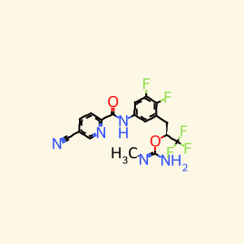 C/N=C(/N)O[C@@H](Cc1cc(NC(=O)c2ccc(C#N)cn2)cc(F)c1F)C(F)(F)F